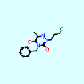 Cc1nn(CCCCl)c(=O)n(Cc2ccccc2)c1=O